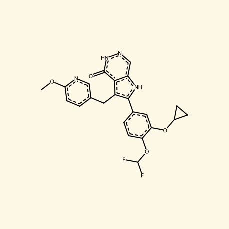 COc1ccc(Cc2c(-c3ccc(OC(F)F)c(OC4CC4)c3)[nH]c3cn[nH]c(=O)c23)cn1